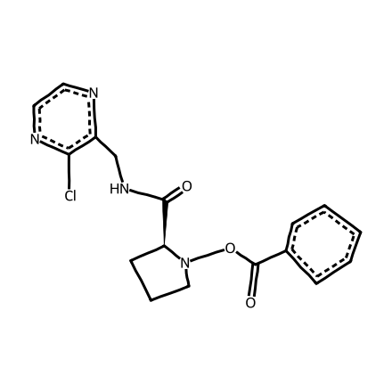 O=C(ON1CCC[C@H]1C(=O)NCc1nccnc1Cl)c1ccccc1